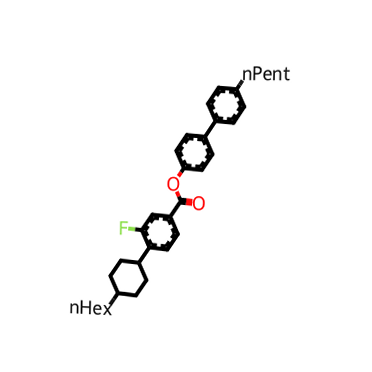 CCCCCCC1CCC(c2ccc(C(=O)Oc3ccc(-c4ccc(CCCCC)cc4)cc3)cc2F)CC1